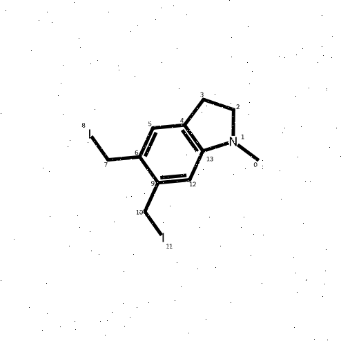 CN1CCc2cc(CI)c(CI)cc21